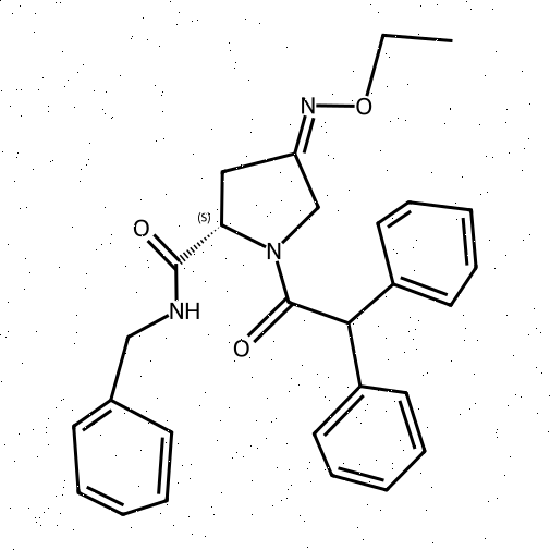 CCON=C1C[C@@H](C(=O)NCc2ccccc2)N(C(=O)C(c2ccccc2)c2ccccc2)C1